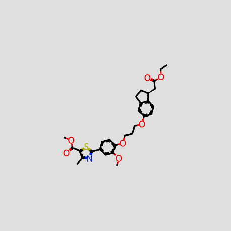 CCOC(=O)C[C@@H]1CCc2cc(OCCCOc3ccc(-c4nc(C)c(C(=O)OC)s4)cc3OC)ccc21